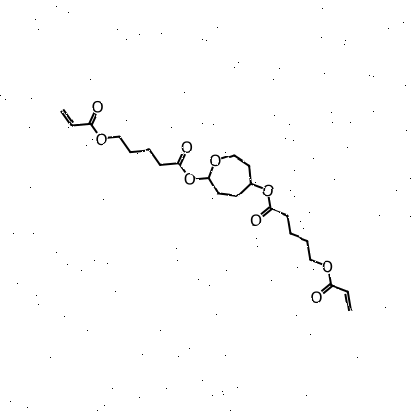 C=CC(=O)OCCCCC(=O)OC1CCOC(OC(=O)CCCCOC(=O)C=C)CC1